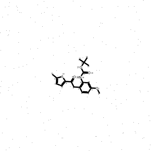 COc1ccc(CC(=O)c2ccc(C)s2)c(NC(=O)OC(C)(C)C)c1